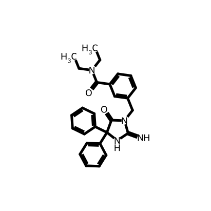 CCN(CC)C(=O)c1cccc(CN2C(=N)NC(c3ccccc3)(c3ccccc3)C2=O)c1